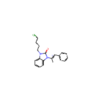 C/C(=C\c1ccccc1)n1c(=O)n(CCCCCl)c2ccccc21